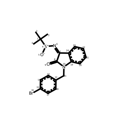 CC(C)(C)[S+]([O-])N=C1C(=O)N(Cc2ccc(Br)cc2)c2ccccc21